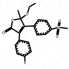 CCOC1(C)OC(=O)C(c2ccc(F)cc2)=C1c1ccc(S(C)(=O)=O)cc1